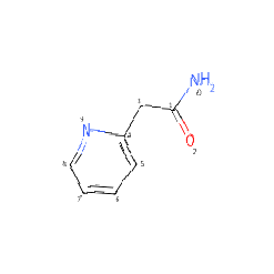 NC(=O)Cc1ccccn1